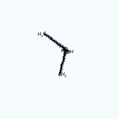 CC/C=C/C/C=C/C/C=C/C/C=C/C/C=C/C/C=C/CCC(=O)OC(CO)COCCCCCCCCCCCCCCCC